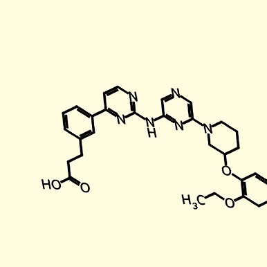 CCOC1=C(OC2CCCN(c3cncc(Nc4nccc(-c5cccc(CCC(=O)O)c5)n4)n3)C2)C=CCC1